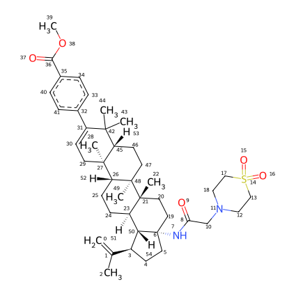 C=C(C)[C@@H]1CC[C@]2(NC(=O)CN3CCS(=O)(=O)CC3)CC[C@]3(C)[C@H](CC[C@@H]4[C@@]5(C)CC=C(c6ccc(C(=O)OC)cc6)C(C)(C)[C@@H]5CC[C@]43C)[C@@H]12